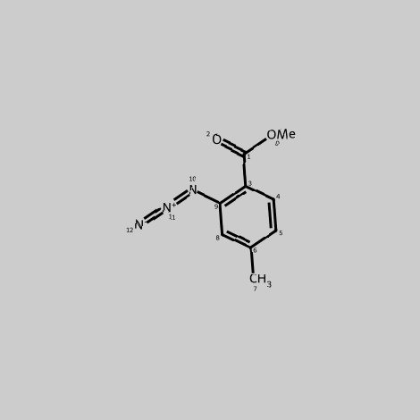 COC(=O)c1ccc(C)cc1N=[N+]=[N-]